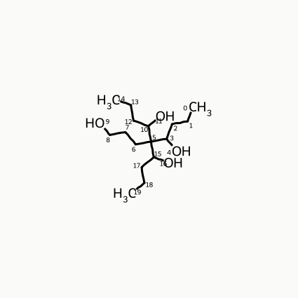 CCCC(O)C(CCCO)(C(O)CCC)C(O)CCC